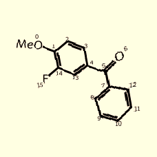 COc1ccc(C(=O)c2ccccc2)cc1F